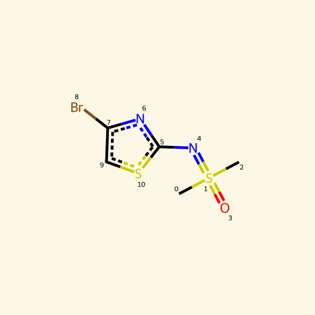 CS(C)(=O)=Nc1nc(Br)cs1